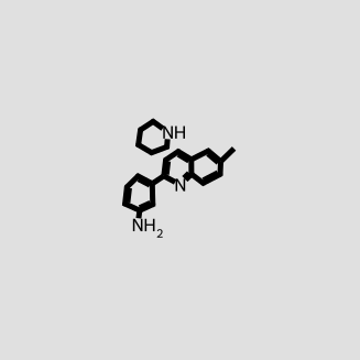 C1CCNCC1.Cc1ccc2nc(-c3cccc(N)c3)ccc2c1